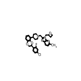 Cc1ccc2nc(CN3CCC(c4cccc5c4OC(c4ccc(Cl)cc4F)CO5)CC3)n(CC3CCO3)c2n1